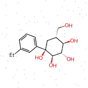 CCc1cccc([C@]2(O)C[C@H](CO)[C@@H](O)[C@H](O)[C@H]2O)c1